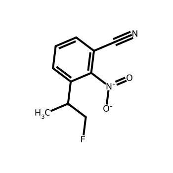 C[C](CF)c1cccc(C#N)c1[N+](=O)[O-]